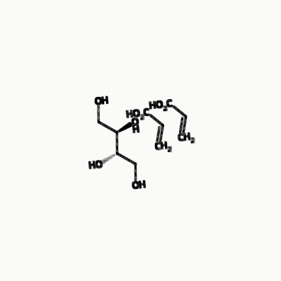 C=CC(=O)O.C=CC(=O)O.OC[C@@H](O)[C@@H](O)CO